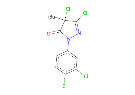 CCC(C)C1(Cl)C(=O)N(c2ccc(Cl)c(Cl)c2)N=C1Cl